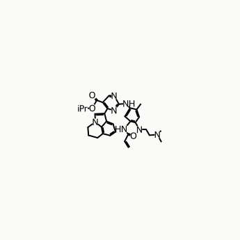 C=CC(=O)Nc1cc(Nc2ncc(C(=O)OC(C)C)c(-c3cn4c5c(cccc35)CCC4)n2)c(C)cc1N(C)CCN(C)C